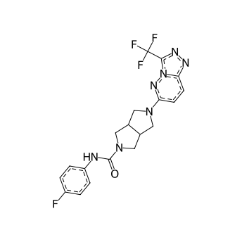 O=C(Nc1ccc(F)cc1)N1CC2CN(c3ccc4nnc(C(F)(F)F)n4n3)CC2C1